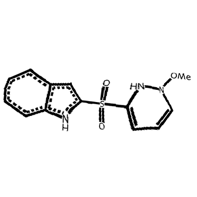 CON1C=CC=C(S(=O)(=O)c2cc3ccccc3[nH]2)N1